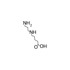 NCCCNCCCCC(=O)O